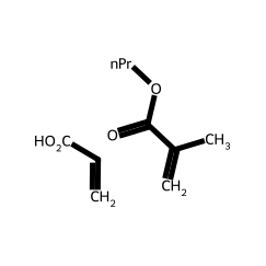 C=C(C)C(=O)OCCC.C=CC(=O)O